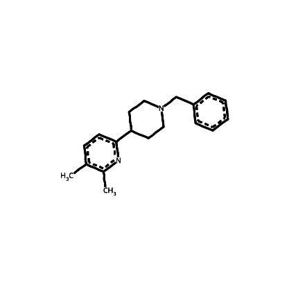 Cc1ccc(C2CCN(Cc3ccccc3)CC2)nc1C